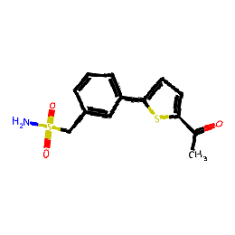 CC(=O)c1ccc(-c2cccc(CS(N)(=O)=O)c2)s1